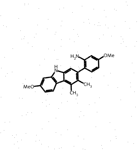 COc1ccc(-c2cc3[nH]c4cc(OC)ccc4c3c(C)c2C)c(N)c1